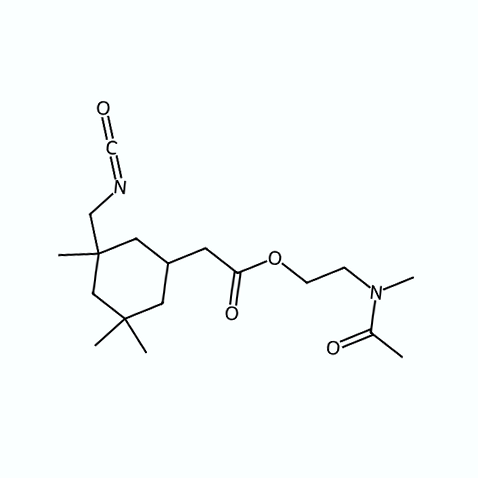 CC(=O)N(C)CCOC(=O)CC1CC(C)(C)CC(C)(CN=C=O)C1